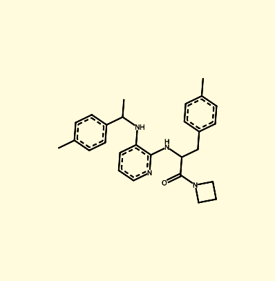 Cc1ccc(CC(Nc2ncccc2NC(C)c2ccc(C)cc2)C(=O)N2CCC2)cc1